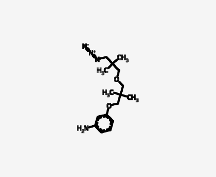 CC(C)(CN=[N+]=[N-])COCC(C)(C)COc1cccc(N)c1